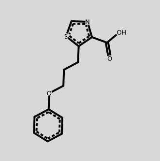 O=C(O)c1ncsc1CCCOc1ccccc1